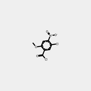 COc1cc([N+](=O)[O-])c(Cl)cc1C(=O)Cl